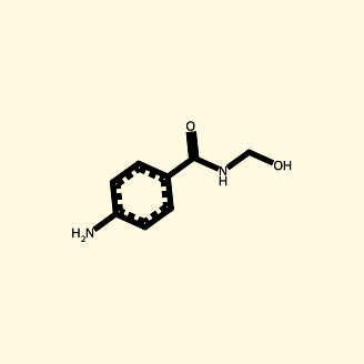 Nc1ccc(C(=O)NCO)cc1